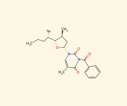 [2H][C@@H](CCC)[C@H]1O[C@@H](n2cc(C)c(=O)n(C(=O)c3ccccc3)c2=O)C[C@@H]1C